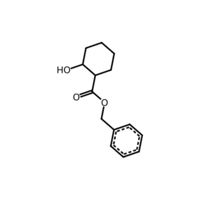 O=C(OCc1ccccc1)C1CCCCC1O